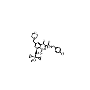 Cn1nc(C(=O)NCc2ccc(Cl)cc2)c(=O)c2cc(CN3CCOCC3)cc(C#CC(O)(C3CC3)C3CC3)c21